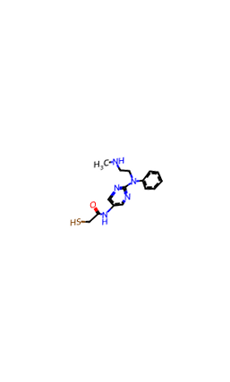 CNCCN(c1ccccc1)c1ncc(NC(=O)CS)cn1